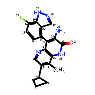 Cc1c(C2CCC2)cnc2c(-c3ccc(F)c4[nH]ncc34)c(N)c(=O)[nH]c12